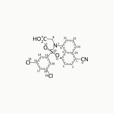 N#Cc1cccc2c(N(CC(=O)O)S(=O)(=O)c3cc(Cl)cc(Cl)c3)cccc12